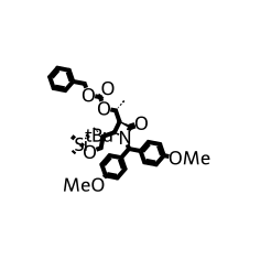 COc1ccc(C(c2ccc(OC)cc2)N2C(=O)[C@H]([C@@H](C)OC(=O)OCc3ccccc3)[C@H]2[C@@H](C)CO[Si](C)(C)C(C)(C)C)cc1